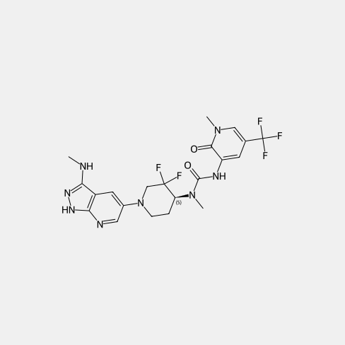 CNc1n[nH]c2ncc(N3CC[C@H](N(C)C(=O)Nc4cc(C(F)(F)F)cn(C)c4=O)C(F)(F)C3)cc12